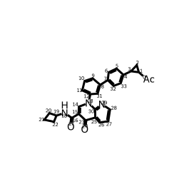 CC(=O)C1CC1c1ccc(-c2cccc(-n3cc(C(=O)NC4CCC4)c(=O)c4cccnc43)c2)cc1